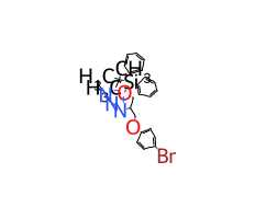 CC(C)(C)[Si](OCC(COc1ccc(Br)cc1)N=[N+]=[N-])(c1ccccc1)c1ccccc1